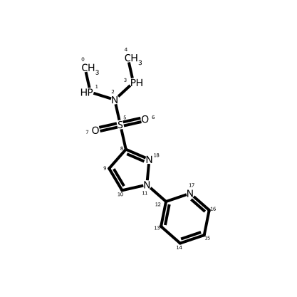 CPN(PC)S(=O)(=O)c1ccn(-c2ccccn2)n1